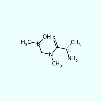 CB(O)CN(C)C(=S)[C@H](C)N